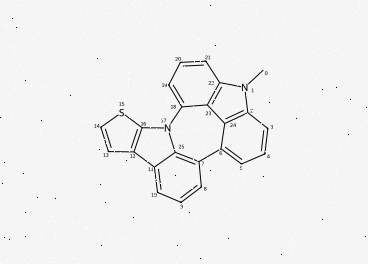 Cn1c2cccc3c4cccc5c6ccsc6n(c6cccc1c6c32)c45